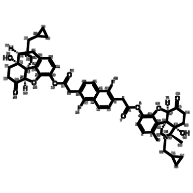 Cc1ccc(OC(=O)Cc2ccc3c(F)c(CC(=O)Oc4ccc5c6c4O[C@H]4C(=O)CC[C@@]7(O)[C@@H](C5)N(CC5CC5)CC[C@]647)ccc3c2F)c2c1[C@]13CCN(CC4CC4)[C@H](C)[C@]1(O)CCC(=O)[C@@H]3O2